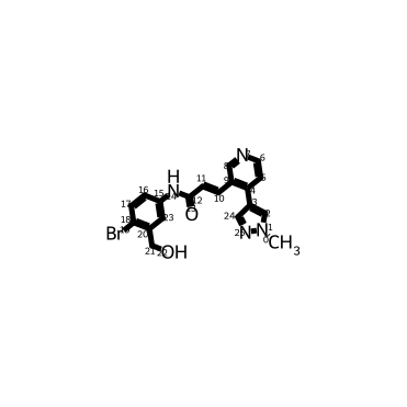 Cn1cc(-c2ccncc2C=CC(=O)Nc2ccc(Br)c(CO)c2)cn1